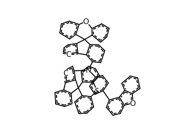 c1ccc2c(c1)Oc1ccccc1C21c2ccccc2-c2c(N(c3ccc(-c4cccc5oc6ccccc6c45)cc3)c3cccc4c3C3(c5ccccc5Sc5ccccc53)c3ccccc3-4)cccc21